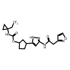 O=C(Cc1ccon1)Nc1cc(C2CCC(OC(=O)NC3(CC(F)(F)F)CC3)C2)[nH]n1